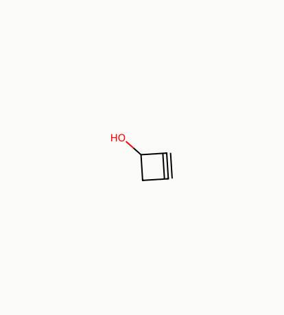 OC1C#CC1